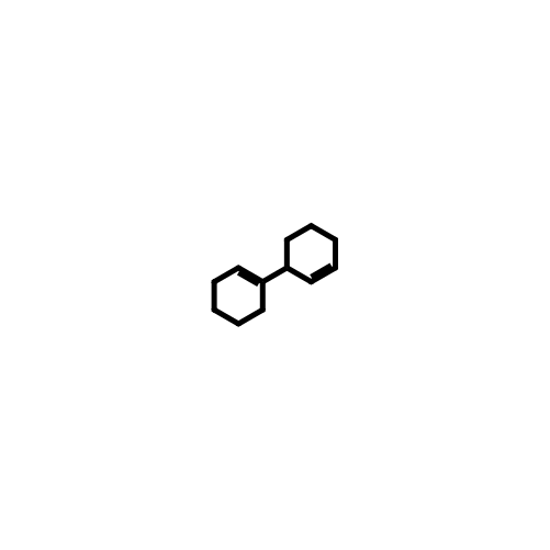 C1=C[C](C2=CCCCC2)CCC1